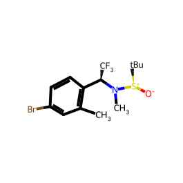 Cc1cc(Br)ccc1[C@H](N(C)[S@+]([O-])C(C)(C)C)C(F)(F)F